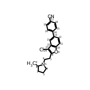 C[C@@H]1CCCN1CCc1oc2ccc(-c3ccc(C#N)cc3)cc2c1Cl